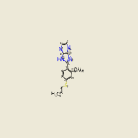 C=CCSc1ccc(-c2nc3nccnc3[nH]2)c(OC)c1